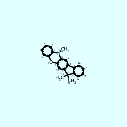 CN1c2ccccc2Oc2cc3c(cc21)-c1ccccc1C3(C)C